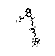 CCCCOC(=O)COc1cc(C(=O)NCCNC(=O)CCCC[C@@H]2SC[C@@H]3NC(=O)N[C@@H]32)nc2ccccc12